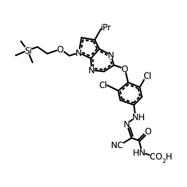 CC(C)c1cn(COCC[Si](C)(C)C)c2ncc(Oc3c(Cl)cc(NN=C(C#N)C(=O)NC(=O)O)cc3Cl)nc12